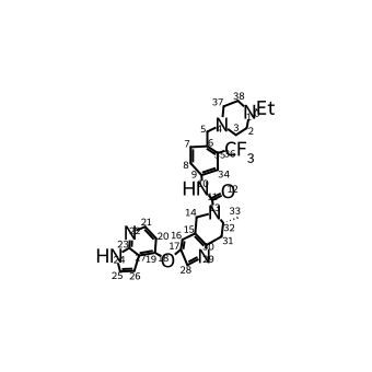 CCN1CCN(Cc2ccc(NC(=O)N3Cc4cc(Oc5ccnc6[nH]ccc56)cnc4C[C@H]3C)cc2C(F)(F)F)CC1